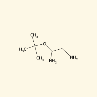 CC(C)(C)OC(N)CN